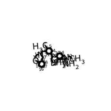 BCP(c1ccc(C)c(CN2CCOc3ccccc3C2)c1)c1ccc2c(c1F)n(N)n2CC